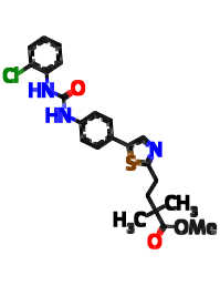 COC(=O)C(C)(C)CCc1ncc(-c2ccc(NC(=O)Nc3ccccc3Cl)cc2)s1